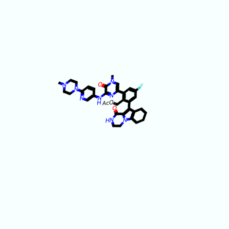 CC(=O)OCc1c(-c2cn(C)c(=O)c(Nc3ccc(N4CCN(C)CC4)nc3)n2)cc(F)cc1-c1c2c(n3c1C(=O)NCC3)CCCC2